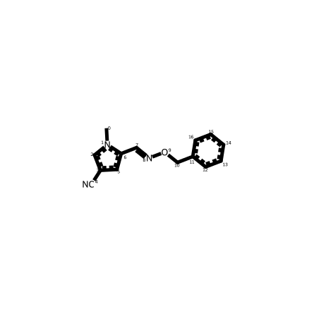 Cn1cc(C#N)cc1C=NOCc1ccccc1